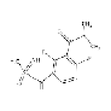 CC(C)C(=O)c1c(F)ccc(NS(C)(=N)=O)c1F